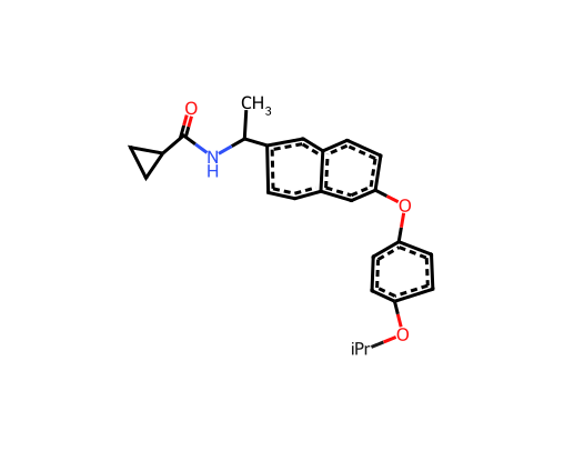 CC(C)Oc1ccc(Oc2ccc3cc(C(C)NC(=O)C4CC4)ccc3c2)cc1